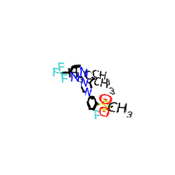 CC(C)(C)C1CN(c2ccc(F)c(S(C)(=O)=O)c2)CCN1c1nccc(C(F)(F)F)n1